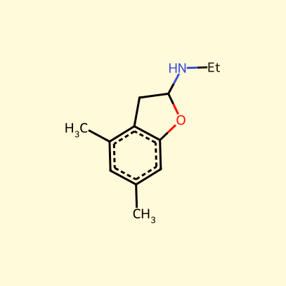 CCNC1Cc2c(C)cc(C)cc2O1